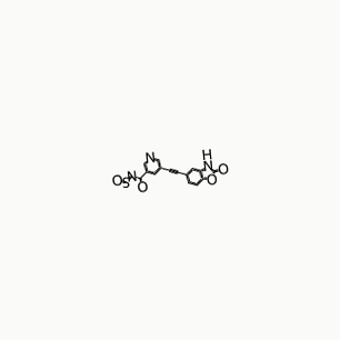 O=S=NC(=O)c1cncc(C#Cc2ccc3oc(=O)[nH]c3c2)c1